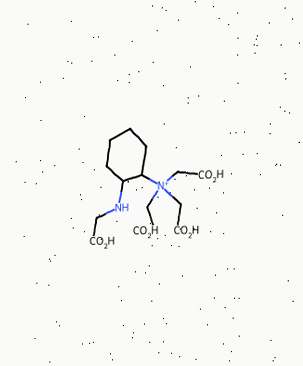 O=C(O)CNC1CCCCC1[N+](CC(=O)O)(CC(=O)O)CC(=O)O